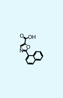 O=C(O)c1cnc(-c2cccc3ccccc23)o1